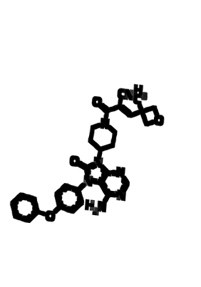 CC1(C=C(C#N)C(=O)N2CCC(n3c(=O)n(-c4ccc(Oc5ccccc5)cc4)c4c(N)ncnc43)CC2)COC1